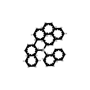 c1ccc2c(B3c4c(ccc5ccccc45)-c4ccc5ccc6cccc7cc3c4c5c67)cccc2c1